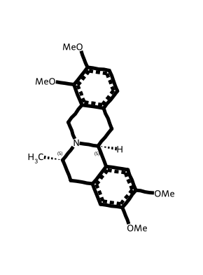 COc1cc2c(cc1OC)[C@@H]1Cc3ccc(OC)c(OC)c3CN1[C@@H](C)C2